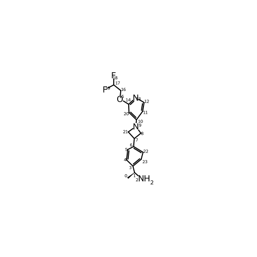 C[C@H](N)c1ccc(C2CN(c3ccnc(OCC(F)F)c3)C2)cc1